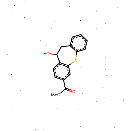 COC(=O)c1ccc2c(c1)Sc1ccccc1CC2O